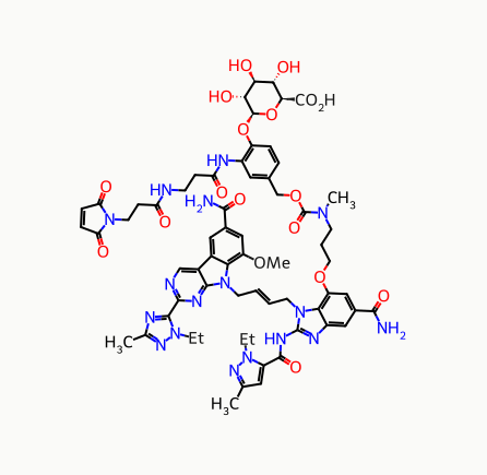 CCn1nc(C)cc1C(=O)Nc1nc2cc(C(N)=O)cc(OCCCN(C)C(=O)OCc3ccc(O[C@@H]4O[C@H](C(=O)O)[C@@H](O)[C@H](O)[C@H]4O)c(NC(=O)CCNC(=O)CCN4C(=O)C=CC4=O)c3)c2n1C/C=C/Cn1c2nc(-c3nc(C)nn3CC)ncc2c2cc(C(N)=O)cc(OC)c21